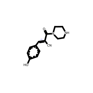 N#C/C(=C\c1ccc(O)cc1)C(=O)N1CCNCC1